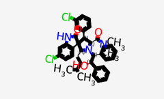 CC(C)CC[C@H]1N([C@H](c2ccccc2)[C@@H](O)c2ccccc2)[C@@H](C(=O)N(C)C)[C@H](c2cccc(Cl)c2)[C@@]12C(=O)Nc1cc(Cl)ccc12